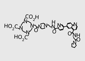 O=C(O)CN1CCN(CC(=O)O)CCN(CC(=O)N2CCN(CCNC(=O)c3ccc(-c4ccc5nccc(C(=O)NCC(=O)N6CCCC6)c5c4)cn3)CC2)CCN(CC(=O)O)CC1